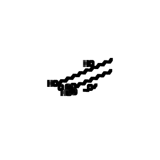 CCCCCCC(O)CCCCCCCCCCC(=O)O.CCCCCCCCCCCCOS(=O)(=O)O.CCOCC